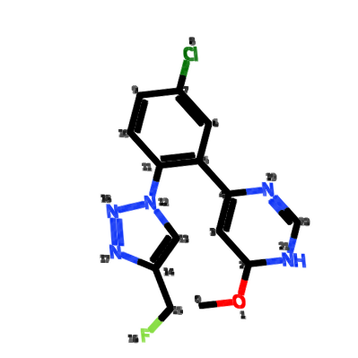 COC1C=C(c2cc(Cl)ccc2-n2cc(CF)nn2)N=CN1